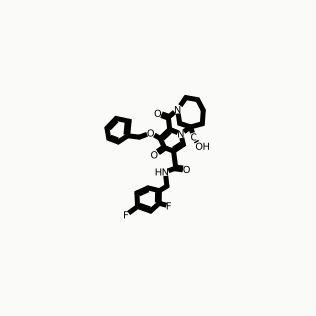 O=C(NCc1ccc(F)cc1F)c1cn2c(c(OCc3ccccc3)c1=O)C(=O)N1CCCCC2(CO)C1